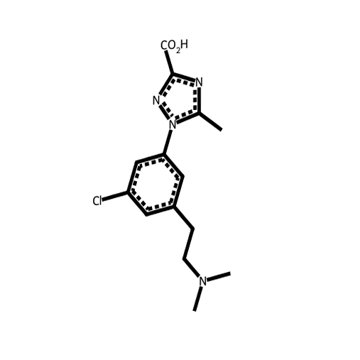 Cc1nc(C(=O)O)nn1-c1cc(Cl)cc(CCN(C)C)c1